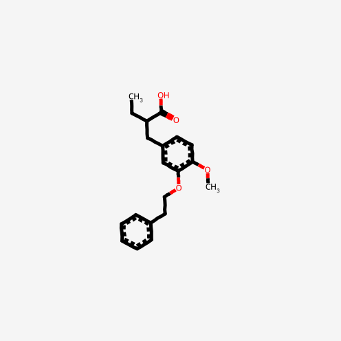 CCC(Cc1ccc(OC)c(OCCc2ccccc2)c1)C(=O)O